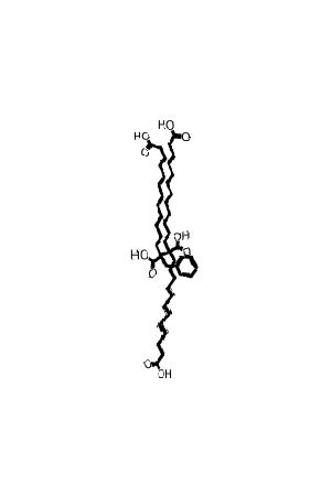 O=C(O)CCCCCCCCCCCC(CCCCCCCCCCCC(=O)O)(C(=O)O)C(CCCCCCCCCCCC(=O)O)(Cc1ccccc1)C(=O)O